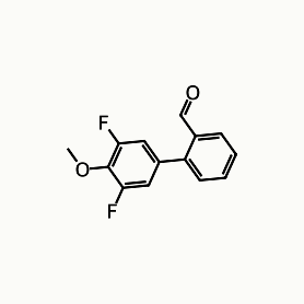 COc1c(F)cc(-c2ccccc2C=O)cc1F